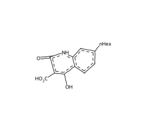 CCCCCCc1ccc2c(O)c(C(=O)O)c(=O)[nH]c2c1